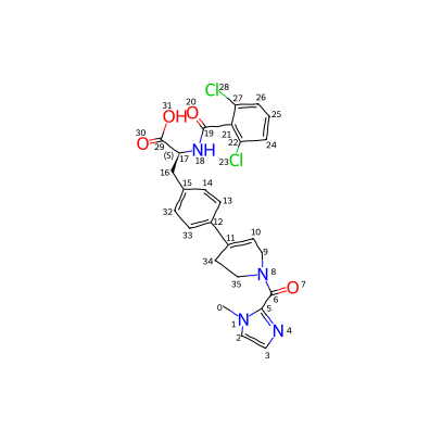 Cn1ccnc1C(=O)N1CC=C(c2ccc(C[C@H](NC(=O)c3c(Cl)cccc3Cl)C(=O)O)cc2)CC1